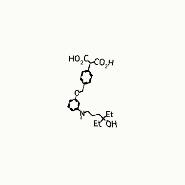 CCC(O)(CC)CCCN(C)c1cccc(OCc2ccc(C(C(=O)O)C(=O)O)cc2)c1